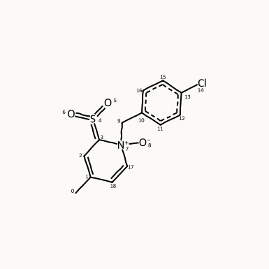 CC1=CC(=S(=O)=O)[N+]([O-])(Cc2ccc(Cl)cc2)C=C1